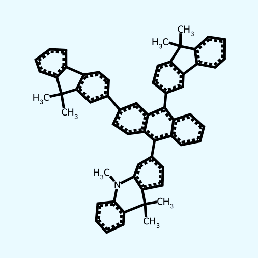 CN1c2ccccc2C(C)(C)c2ccc(-c3c4ccccc4c(-c4ccc5c(c4)-c4ccccc4C5(C)C)c4cc(-c5ccc6c(c5)C(C)(C)c5ccccc5-6)ccc34)cc21